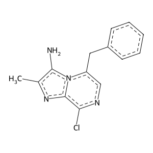 Cc1nc2c(Cl)ncc(Cc3ccccc3)n2c1N